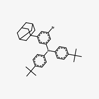 CC(C)(C)c1ccc(N(c2ccc(C(C)(C)C)cc2)c2cc(Br)cc(C34CC5CC(CC(C5)C3)C4)c2)cc1